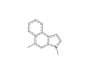 Cc1cc2c(ccn2C)c2ccccc12